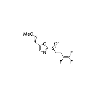 CON=Cc1cnc([S+]([O-])CCC(F)=C(F)F)o1